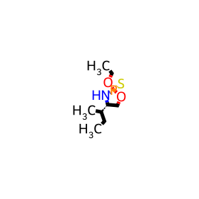 CCOP1(=S)N[C@@H](C(C)CC)CO1